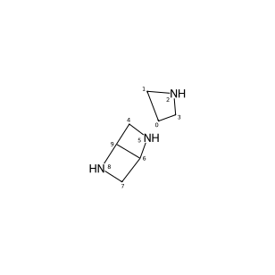 C1CNC1.C1NC2CNC12